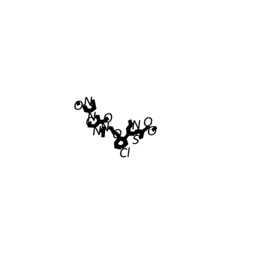 COC(=O)c1csc2c(-c3cc(Cl)ccc3OCCn3c(C)nc4c(c3=O)CN(c3ccnc(OC)c3)CC4)cc(C)nc12